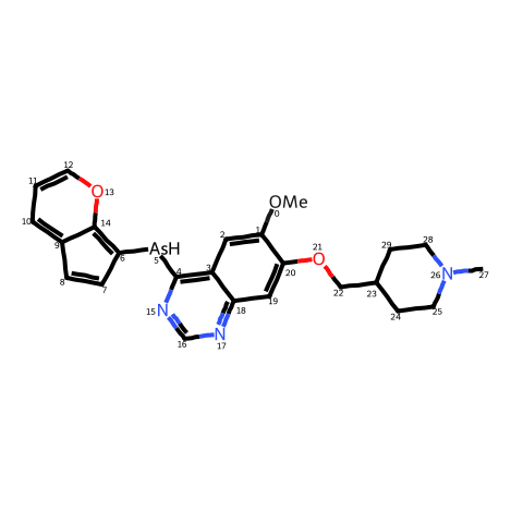 COc1cc2c([AsH]c3ccc4cccoc3-4)ncnc2cc1OCC1CCN(C)CC1